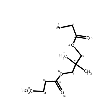 CC(C)CC(=O)OCC(C)(C)COC(=O)CCC(=O)O